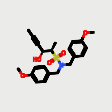 CC#C[C@@H](O)[C@@H](C)S(=O)(=O)N(Cc1ccc(OC)cc1)Cc1ccc(OC)cc1